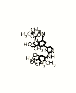 Cc1nc(P(C)(C)=O)c(Cl)cc1Nc1nccc(-c2cc(C#N)c3c(c2)[C@@](C)(CO)CN3C(=O)OC(C)(C)C)n1